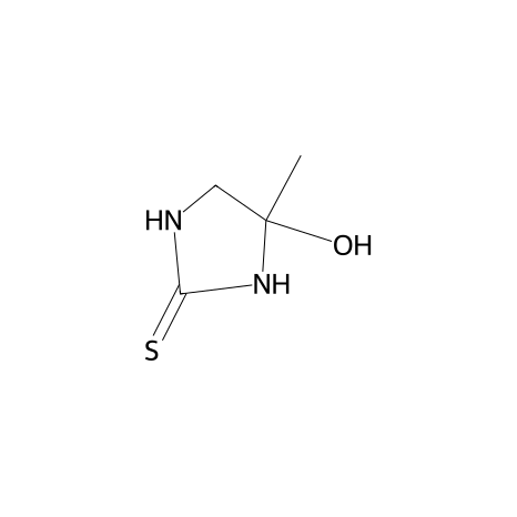 CC1(O)CNC(=S)N1